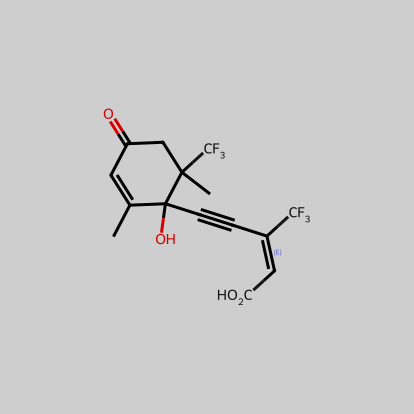 CC1=CC(=O)CC(C)(C(F)(F)F)C1(O)C#C/C(=C\C(=O)O)C(F)(F)F